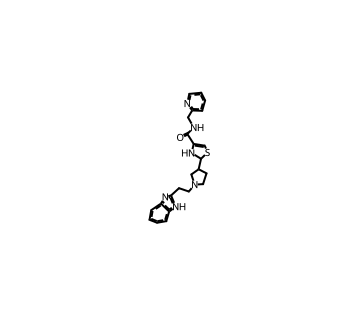 O=C(NCc1ccccn1)C1=CSC(C2CCN(CCc3nc4ccccc4[nH]3)C2)N1